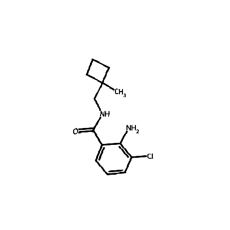 CC1(CNC(=O)c2cccc(Cl)c2N)CCC1